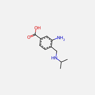 CC(C)NCc1ccc(C(=O)O)cc1N